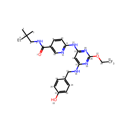 CCC(C)(C)CNC(=O)c1ccc(Nc2cc(NCc3ccc(O)cc3)nc(OCC(F)(F)F)n2)nc1